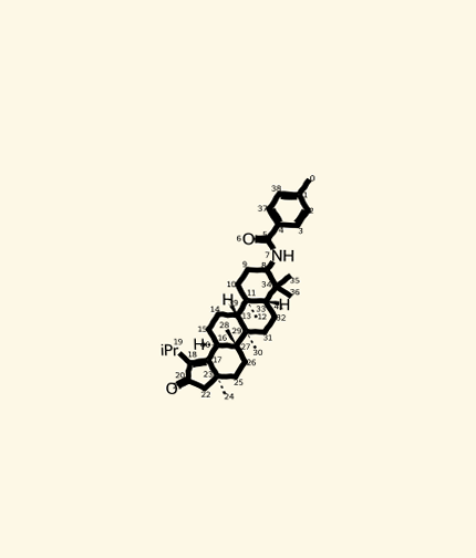 Cc1ccc(C(=O)NC2CC[C@]3(C)[C@H]4CC[C@@H]5C6=C(C(C)C)C(=O)C[C@]6(C)CC[C@@]5(C)[C@]4(C)CC[C@H]3C2(C)C)cc1